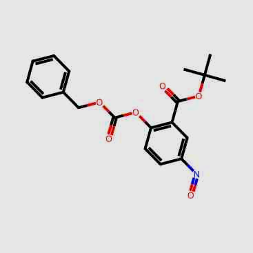 CC(C)(C)OC(=O)c1cc(N=O)ccc1OC(=O)OCc1ccccc1